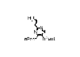 C=CCc1nnc(CCCCC)c(CCCCC)n1